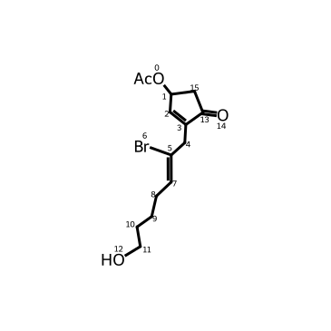 CC(=O)OC1C=C(CC(Br)=CCCCCO)C(=O)C1